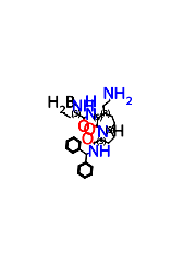 BN[C@@H](CC)C(=O)N[C@@H]1C(=O)N2[C@@H](CC[C@@H]1CCN)CC[C@H]2C(=O)NC(c1ccccc1)c1ccccc1